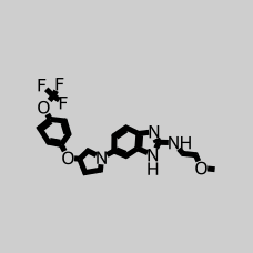 COCCNc1nc2ccc(N3CCC(Oc4ccc(OC(F)(F)F)cc4)C3)cc2[nH]1